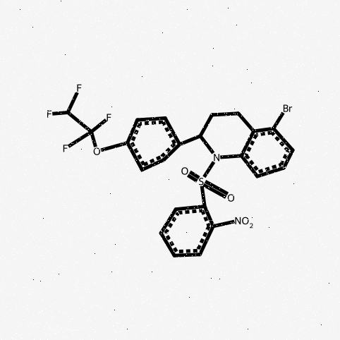 O=[N+]([O-])c1ccccc1S(=O)(=O)N1c2cccc(Br)c2CCC1c1ccc(OC(F)(F)C(F)F)cc1